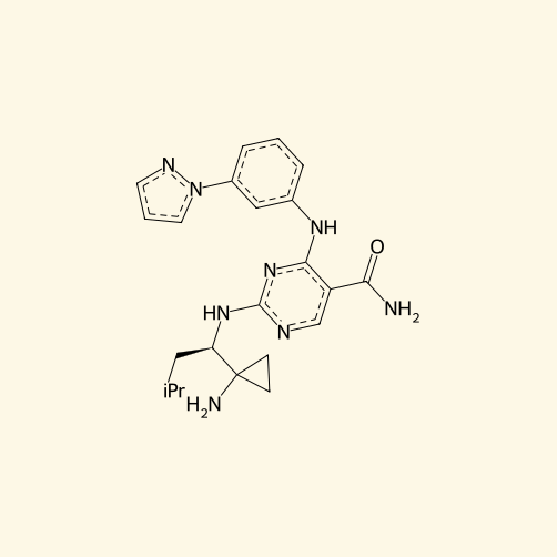 CC(C)C[C@@H](Nc1ncc(C(N)=O)c(Nc2cccc(-n3cccn3)c2)n1)C1(N)CC1